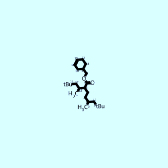 CC(CCC(C(=O)OCC1CC=CCC1)C(C)CC(C)(C)C)CC(C)(C)C